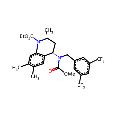 CCOC(=O)N1c2cc(C)c(C)cc2[C@@H](N(Cc2cc(C(F)(F)F)cc(C(F)(F)F)c2)C(=O)OC)C[C@H]1C